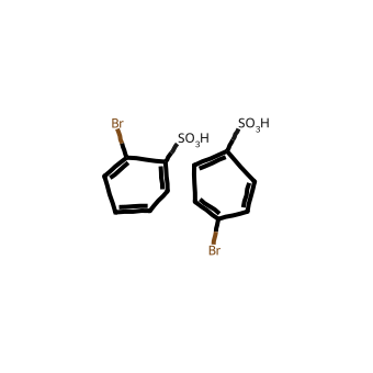 O=S(=O)(O)c1ccc(Br)cc1.O=S(=O)(O)c1ccccc1Br